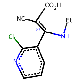 CCN/C(=C(/C#N)C(=O)O)c1cccnc1Cl